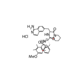 COc1cc(C)c(S(=O)(=O)N[C@@H](Cc2ccccc2)C(=O)NC(Cc2ccc3c(N)nccc3c2)C(=O)N2CCCCC2)c(C)c1C.Cl